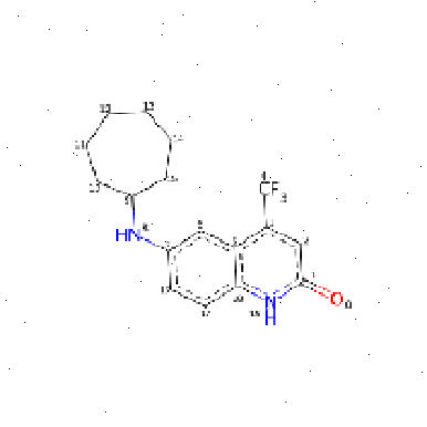 O=c1cc(C(F)(F)F)c2cc(NC3CCCCCC3)ccc2[nH]1